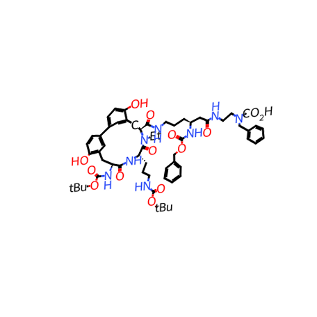 CCN1C(=O)[C@H](CCCNC(=O)OC(C)(C)C)NC(=O)[C@@H](NC(=O)OC(C)(C)C)Cc2cc(ccc2O)-c2ccc(O)c(c2)C[C@H]1C(=O)NCCC[C@@H](CC(=O)NCCN(Cc1ccccc1)C(=O)O)NC(=O)OCc1ccccc1